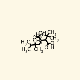 CC(C)C(C)(C)CC(C(=O)O)C(C(=O)O)C(C)(C)C